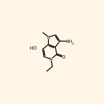 CCn1ccc2c(c(N)cn2C)c1=O.Cl